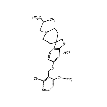 CC(CN1CCC2(CC1)COc1cc(OCc3c(Cl)cccc3OC(F)(F)F)ccc12)C(=O)O.Cl